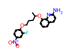 CC(CCCOc1ccc([N+](=O)[O-])cc1F)Oc1cccc2ccc(N)nc12